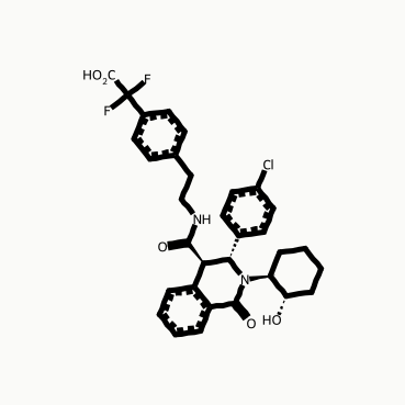 O=C(NCCc1ccc(C(F)(F)C(=O)O)cc1)[C@@H]1c2ccccc2C(=O)N([C@H]2CCCC[C@@H]2O)[C@H]1c1ccc(Cl)cc1